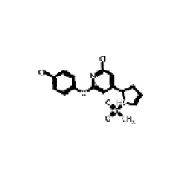 CS(=O)(=O)[SH]1C=CCC1c1cc(Cl)nc(Oc2ccc(Cl)cc2)c1